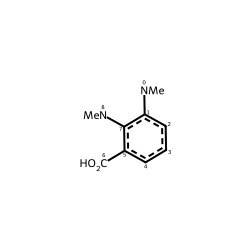 CNc1cccc(C(=O)O)c1NC